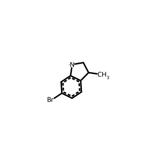 CC1C[N]c2cc(Br)ccc21